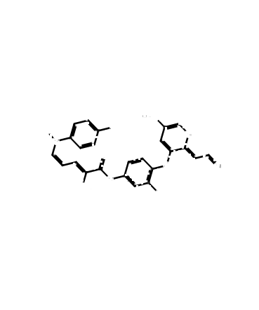 COC1=CN/C(=C\C=N)C(Oc2ccc(NC(=O)/C(C)=C/C=C\N(C=O)c3ccc(F)cc3)cc2F)=C1